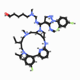 C=NC1=C(/C(=N\CN(C)CCCCC=O)N2CC3CC2CN(C)CC(CC)CN(C(=C)C)c2c(C)cc(F)cc2-c2cccc(n2)N3)CNN1c1ccc(F)cc1F